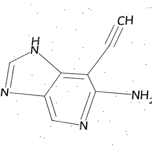 C#Cc1c(N)ncc2nc[nH]c12